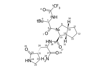 CC(C)(C)C(NC(=O)C(F)(F)F)C(=O)N1C[C@@H]2CCC[C@@H]2[C@H]1C(=O)NC(C[C@@H]1CCNC1=O)C(N)=O